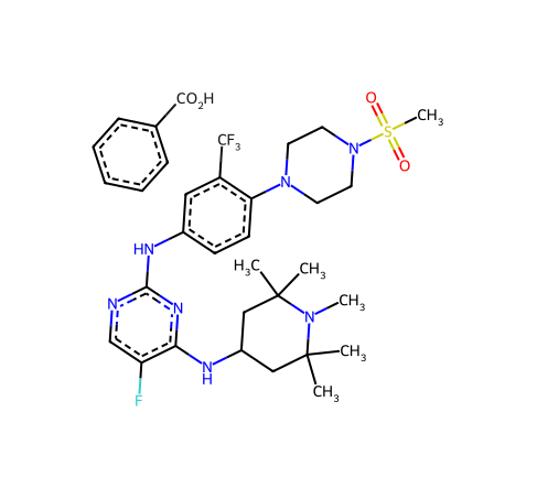 CN1C(C)(C)CC(Nc2nc(Nc3ccc(N4CCN(S(C)(=O)=O)CC4)c(C(F)(F)F)c3)ncc2F)CC1(C)C.O=C(O)c1ccccc1